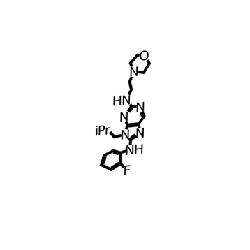 CC(C)Cn1c(Nc2ccccc2F)nc2cnc(NCCN3CCOCC3)nc21